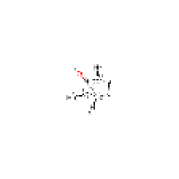 C[C@H]1C(=O)[C@@H]2CC[C@H]1C2